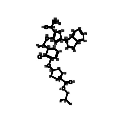 CC(C)COC(=O)N1CCC(Oc2cccc([C@@H](C)Oc3cc(-n4cnc5ccccc54)sc3C(N)=O)c2Cl)CC1